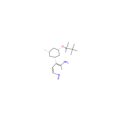 C=N/C=C\C(=C(/C)N)[C@@H]1C[C@H](C)C[C@H](O[Si](C)(C)C(C)(C)C)C1